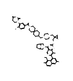 CCc1c(F)ccc2cc(O)cc(-c3ncc4c(N5CC6CCC(C5)N6)nc(OCC5(CN6CCN(CC7CCC8(CC7)CCN(C(=O)c7ccc(OC)c(N9CCC(=O)NC9=O)c7)CC8)CC6)CC5)nc4c3F)c12